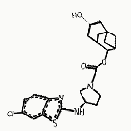 O=C(OC1C2C[C@H](O)CC3(C2)CC1C3)N1CC[C@@H](Nc2nc3ccc(Cl)cc3s2)C1